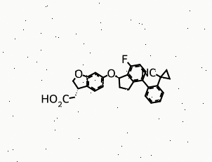 N#CC1(c2ccccc2-c2ccc(F)c3c2CC[C@H]3Oc2ccc3c(c2)OC[C@H]3CC(=O)O)CC1